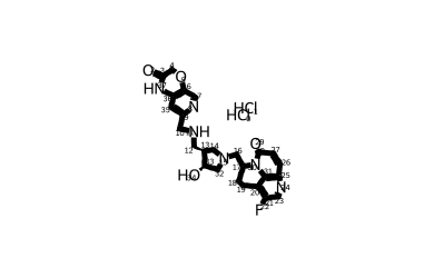 Cl.Cl.O=C1COc2cnc(CNC[C@H]3CN(CC4CCc5c(F)cnc6ccc(=O)n4c56)C[C@H]3O)cc2N1